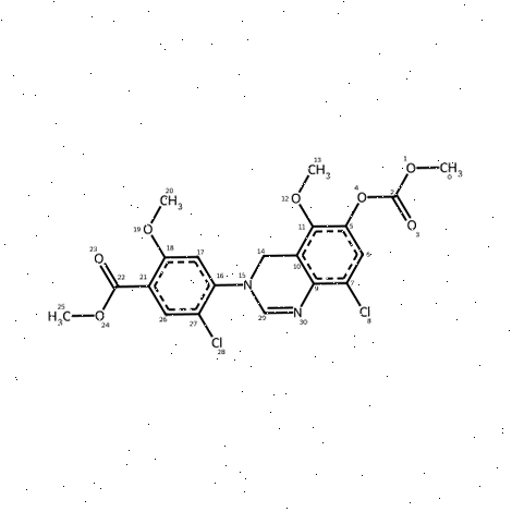 COC(=O)Oc1cc(Cl)c2c(c1OC)CN(c1cc(OC)c(C(=O)OC)cc1Cl)C=N2